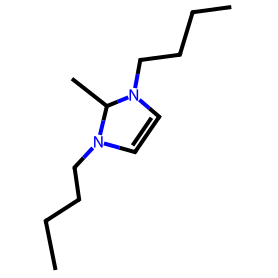 CCCCN1C=CN(CCCC)C1C